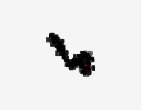 COC(=O)N[C@@H]1CC[C@@H](n2c(=O)n(C)c3cnc4[nH]c(-c5ccc(C(=O)N(C)CCOCC(=O)Nc6ccc7c(c6)CN(C6CCC(=O)NC6=O)C7=O)c(F)c5)c(-c5ccc6c(cnn6C(C)C)c5)c4c32)C1